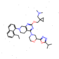 CCc1cccc2cccc(N3CCc4c(nc(OCC5(CN(C)C)CC5)nc4N4CCOC(c5nnc(C(C)C)o5)C4)C3)c12